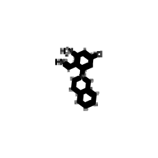 N=Cc1c(N)cc(Cl)cc1N1CCc2ccccc2C1